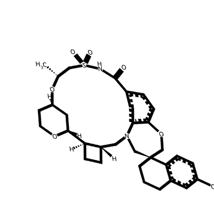 C[C@@H]1CS(=O)(=O)NC(=O)c2ccc3c(c2)N(C[C@@H]2CC[C@H]2[C@H]2C[C@@H](CCO2)O1)C[C@@]1(CCCc2cc(Cl)ccc21)CO3